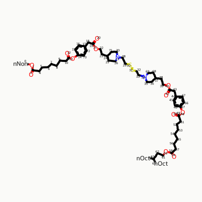 CCCCCCCCCOC(=O)CCCCCCCC(=O)Oc1ccc(CC(=O)OCCC2CCN(CCSSCCN3CCC(CCOC(=O)Cc4ccc(OC(=O)CCCCCCCC(=O)OCCC(CCCCCCCC)CCCCCCCC)cc4)CC3)CC2)cc1